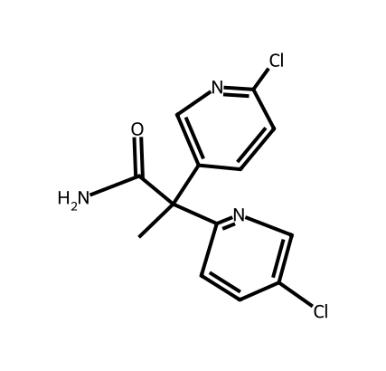 CC(C(N)=O)(c1ccc(Cl)nc1)c1ccc(Cl)cn1